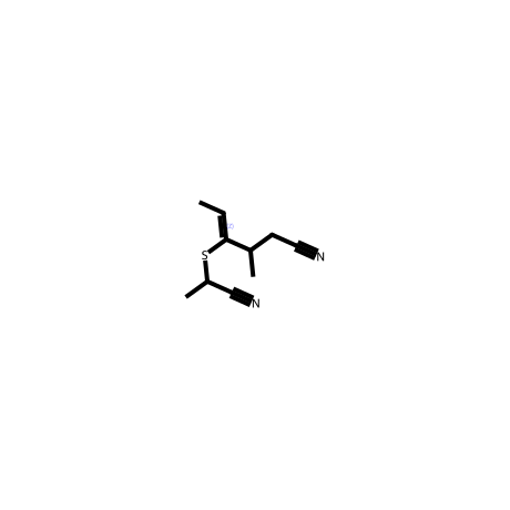 C/C=C(\SC(C)C#N)C(C)CC#N